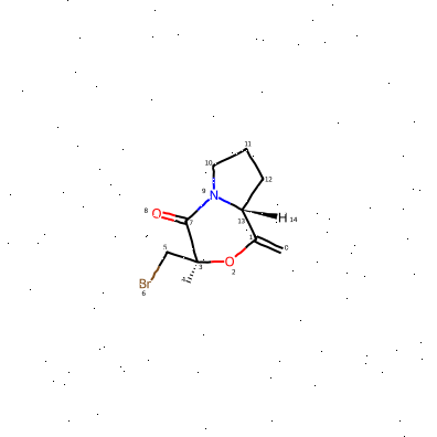 C=C1O[C@@](C)(CBr)C(=O)N2CCC[C@H]12